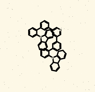 C1=CC2C3=C(CCC=C3)N(c3ccccc3-c3cccc(-c4cncc(-c5cccc(-c6ccccc6-n6c7ccccc7c7ccccc76)c5)c4)c3)C2C=C1